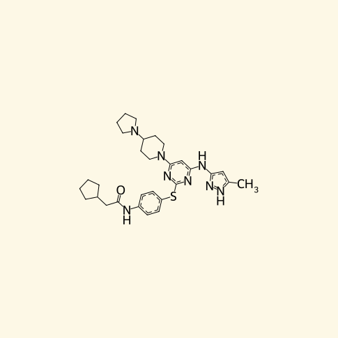 Cc1cc(Nc2cc(N3CCC(N4CCCC4)CC3)nc(Sc3ccc(NC(=O)CC4CCCC4)cc3)n2)n[nH]1